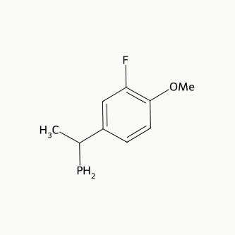 COc1ccc(C(C)P)cc1F